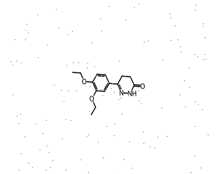 CCOc1ccc(C2=NNC(=O)CC2)cc1OCC